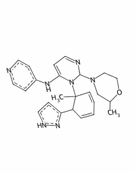 CC1CN(C2N=CC=C(Nc3ccncc3)N2C2(C)C=CC=CC2c2cc[nH]n2)CCO1